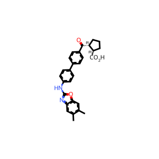 Cc1cc2nc(Nc3ccc(-c4ccc(C(=O)[C@@H]5CCC[C@H]5C(=O)O)cc4)cc3)oc2cc1C